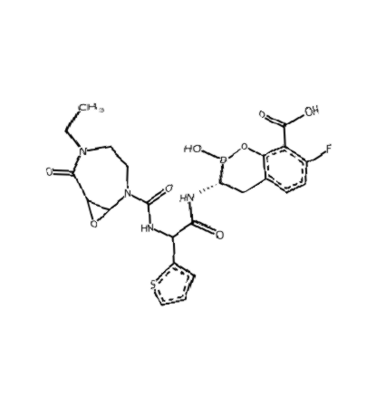 CCN1CCN(C(=O)NC(C(=O)N[C@H]2Cc3ccc(F)c(C(=O)O)c3OB2O)c2cccs2)C2OC2C1=O